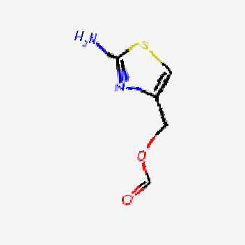 Nc1nc(COC=O)cs1